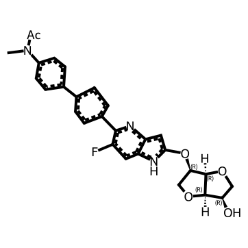 CC(=O)N(C)c1ccc(-c2ccc(-c3nc4cc(O[C@@H]5CO[C@H]6[C@@H]5OC[C@H]6O)[nH]c4cc3F)cc2)cc1